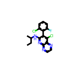 CCC(C)Nc1nc2nccnc2c(Cl)c1-c1c(F)cccc1Cl